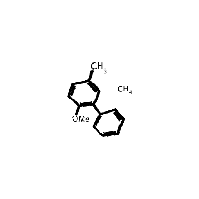 C.COc1ccc(C)cc1-c1ccccc1